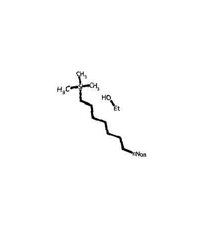 CCCCCCCCCCCCCCCC[Si](C)(C)C.CCO